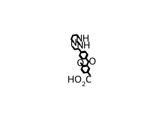 O=C(O)Cc1ccc2oc3cc(C4CCN5CCCNC5N4)ccc3c(=O)c2c1